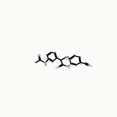 CC(=O)Nc1cccc(C(Nc2ccc(C#N)cc2)C(=O)O)c1